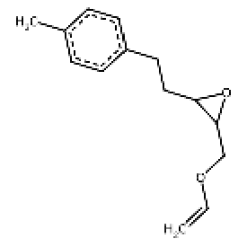 C=COCC1OC1CCc1ccc(C)cc1